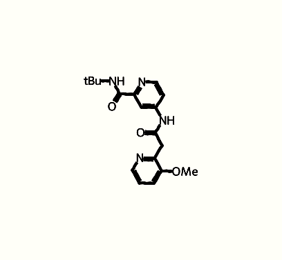 COc1cccnc1CC(=O)Nc1ccnc(C(=O)NC(C)(C)C)c1